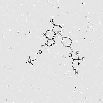 C[Si](C)(C)CCOCn1ccc2c1ncc1c(=O)ccn(C3CCC(COC(CC#N)C(F)(F)F)CC3)c12